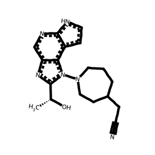 C[C@@H](O)c1nc2cnc3[nH]ccc3c2n1N1CCCC(CC#N)CC1